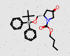 CCCCOC(=O)N1CC(=O)C[C@H]1CO[Si](c1ccccc1)(c1ccccc1)C(C)(C)C